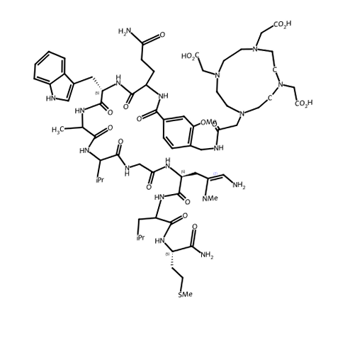 CN/C(=C\N)C[C@H](NC(=O)CNC(=O)C(NC(=O)C(C)NC(=O)[C@H](Cc1c[nH]c2ccccc12)NC(=O)C(CCC(N)=O)NC(=O)c1ccc(CNC(=O)CN2CCN(CC(=O)O)CCN(CC(=O)O)CCN(CC(=O)O)CC2)c(OC)c1)C(C)C)C(=O)NC(CC(C)C)C(=O)N[C@@H](CCSC)C(N)=O